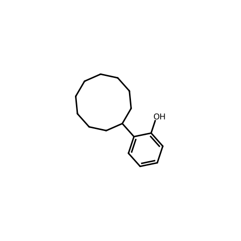 Oc1ccccc1C1CCCCCCCCC1